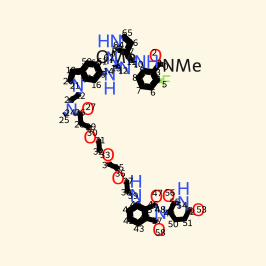 CNC(=O)c1c(F)cccc1Nc1nc(Nc2cc3c(ccn3CCN(C)C(=O)CCOCCOCCOCCNc3cccc4c3C(=O)N(C3CCC(=O)NC3=O)C4=O)cc2OC)nc2[nH]ccc12